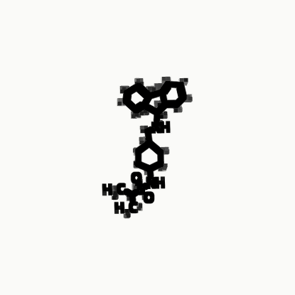 CC(C)S(=O)(=O)NC1CCC(CNC2c3ccccc3-c3ccccc32)CC1